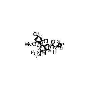 COc1cc(Cl)cc(Cl)c1-c1nc(N)nc2c1CN(C(=O)NC1=CC=C1)C2